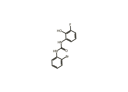 O=C(Nc1ccccc1Br)Nc1cccc(F)c1O